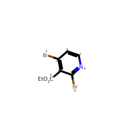 CCOC(=O)c1c(Br)ccnc1Br